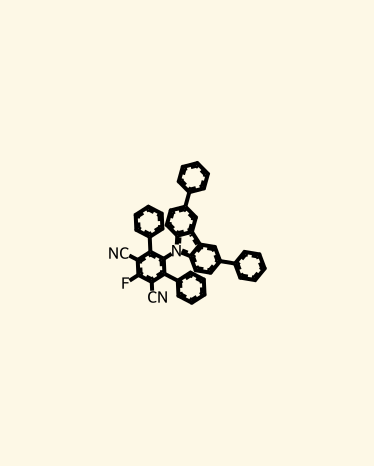 N#Cc1c(F)c(C#N)c(-c2ccccc2)c(-n2c3ccc(-c4ccccc4)cc3c3cc(-c4ccccc4)ccc32)c1-c1ccccc1